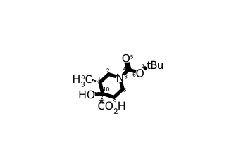 C[C@@H]1CN(C(=O)OC(C)(C)C)CC[C@]1(O)C(=O)O